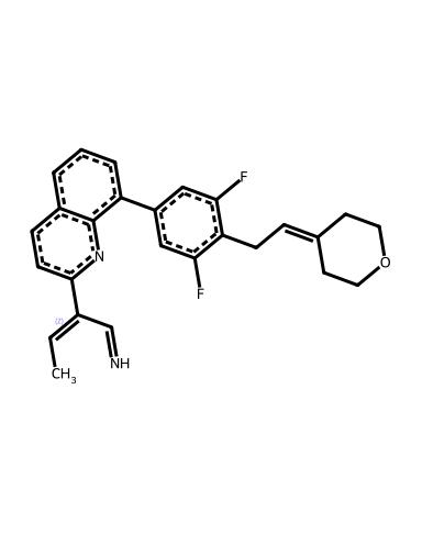 C/C=C(\C=N)c1ccc2cccc(-c3cc(F)c(CC=C4CCOCC4)c(F)c3)c2n1